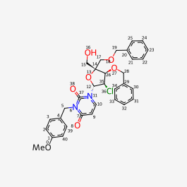 COc1ccc(Cn2c(=O)ccn([C@@H]3O[C@](CO)(COCc4ccccc4)[C@@H](OCc4ccccc4)[C@H]3Cl)c2=O)cc1